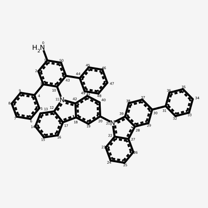 Nc1cc(-c2ccccc2)c(-n2c3ccccc3c3cc(-n4c5ccccc5c5cc(-c6ccccc6)ccc54)ccc32)c(-c2ccccc2)c1